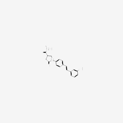 CNC(=O)C1CC(=O)N(c2ccc(/C=C/c3cccc(Cl)c3)cc2)C1